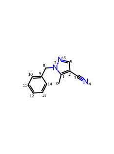 Cc1c(C#N)cnn1Cc1ccccc1